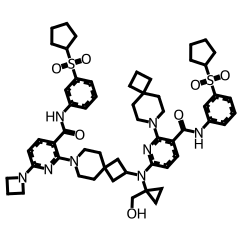 O=C(Nc1cccc(S(=O)(=O)C2CCCC2)c1)c1ccc(N2CCC2)nc1N1CCC2(CC1)CC(N(c1ccc(C(=O)Nc3cccc(S(=O)(=O)C4CCCC4)c3)c(N3CCC4(CCC4)CC3)n1)C1(CO)CC1)C2